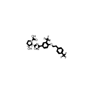 O=C(O)N1CC[C@H](O)[C@H]1c1nc(-c2ccc(OCCc3ccc(C(F)(F)F)cc3)c(C(F)(F)F)c2)no1